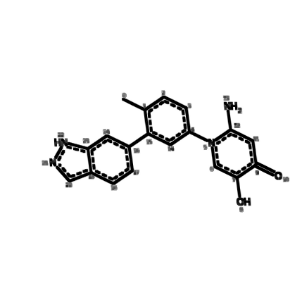 Cc1ccc(-n2cc(O)c(=O)cc2N)cc1-c1ccc2cn[nH]c2c1